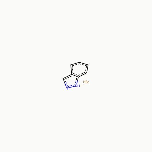 Br.c1ccc2[nH]ncc2c1